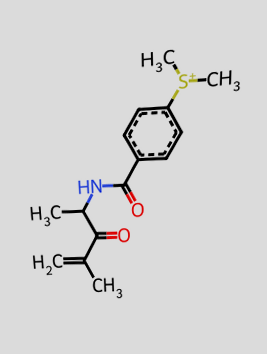 C=C(C)C(=O)C(C)NC(=O)c1ccc([S+](C)C)cc1